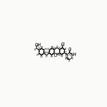 O=C1NCC=NN1c1cc(Cl)c(Cc2ccc(Cc3ccc(CO)cc3)cc2)c(Cl)c1